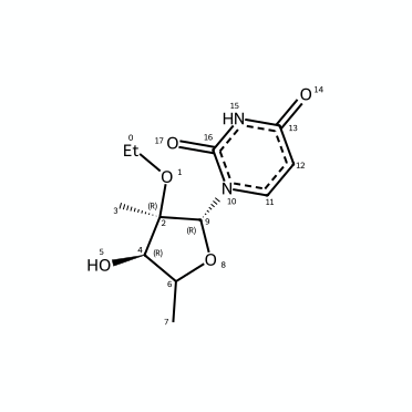 CCO[C@]1(C)[C@H](O)C(C)O[C@H]1n1ccc(=O)[nH]c1=O